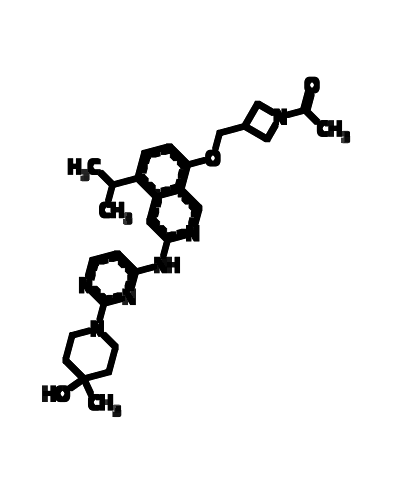 CC(=O)N1CC(COc2ccc(C(C)C)c3cc(Nc4ccnc(N5CCC(C)(O)CC5)n4)ncc23)C1